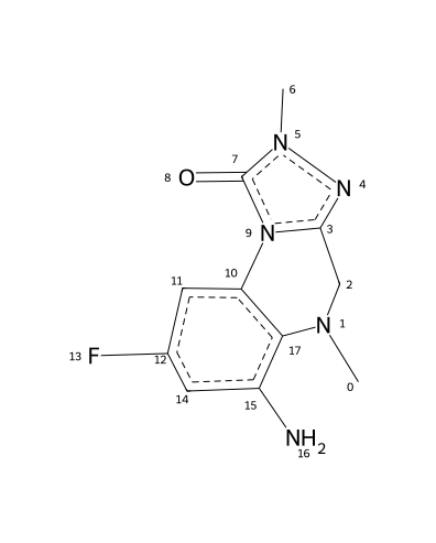 CN1Cc2nn(C)c(=O)n2-c2cc(F)cc(N)c21